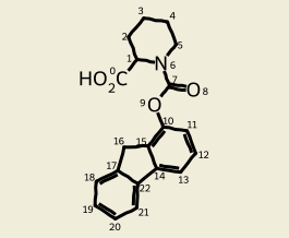 O=C(O)C1CCCCN1C(=O)Oc1cccc2c1Cc1ccccc1-2